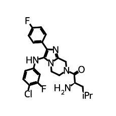 CC(C)C[C@@H](N)C(=O)N1CCn2c(nc(-c3ccc(F)cc3)c2Nc2ccc(Cl)c(F)c2)C1